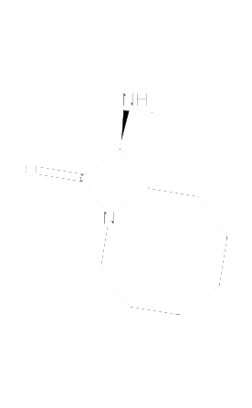 N[C@@H]1C(=O)N2CCCCCCC12